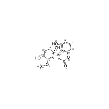 COC1=CC(C)([C@H]2CC(=O)Oc3cccc(O)c32)CC=C1O